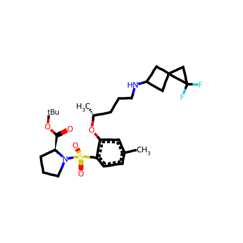 Cc1ccc(S(=O)(=O)N2CCC[C@H]2C(=O)OC(C)(C)C)c(O[C@H](C)CCCNC2CC3(C2)CC3(F)F)c1